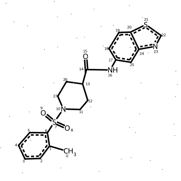 Cc1ccccc1S(=O)(=O)N1CCC(C(=O)Nc2ccc3scnc3c2)CC1